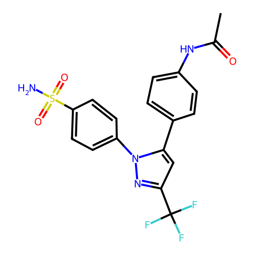 CC(=O)Nc1ccc(-c2cc(C(F)(F)F)nn2-c2ccc(S(N)(=O)=O)cc2)cc1